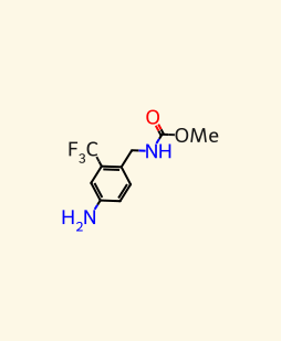 COC(=O)NCc1ccc(N)cc1C(F)(F)F